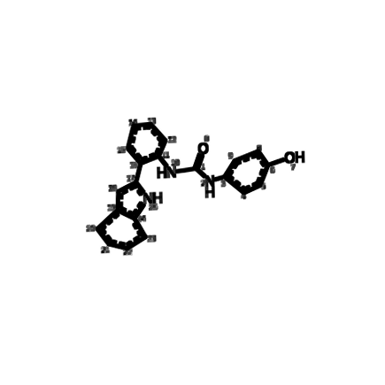 O=C(Nc1ccc(O)cc1)Nc1ccccc1-c1cc2ccccc2[nH]1